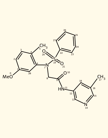 COc1ccc(C)c(N(CC(=O)Nc2cncc(C)c2)S(=O)(=O)c2ccccc2)c1